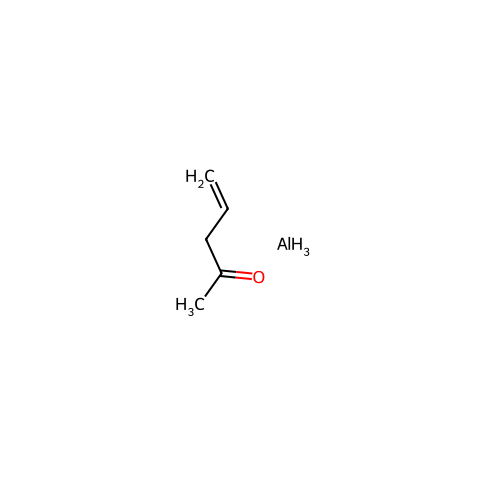 C=CCC(C)=O.[AlH3]